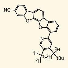 [2H]C([2H])([2H])c1cnc(-c2cccc3c2oc2c3ccc3c4ccc(C#N)cc4oc32)cc1C([2H])([2H])C(C)(C)C